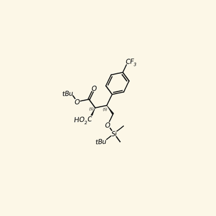 CC(C)(C)OC(=O)[C@H](C(=O)O)[C@H](CO[Si](C)(C)C(C)(C)C)c1ccc(C(F)(F)F)cc1